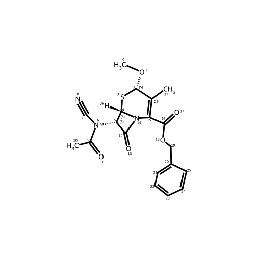 CO[C@H]1S[C@H]2[C@@H](N(C#N)C(C)=O)C(=O)N2C(C(=O)OCc2ccccc2)=C1C